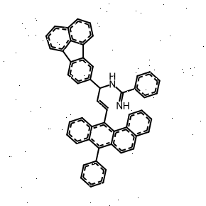 N=C(NC(/C=C/c1c2ccccc2c(-c2ccccc2)c2ccc3ccccc3c12)c1ccc2c(c1)-c1cccc3cccc-2c13)c1ccccc1